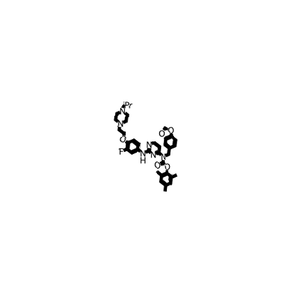 Cc1cc(C)c(OC(=O)N(Cc2ccc3c(c2)OCO3)c2ccnc(Nc3ccc(OCCN4CCN(C(C)C)CC4)c(F)c3)n2)c(C)c1